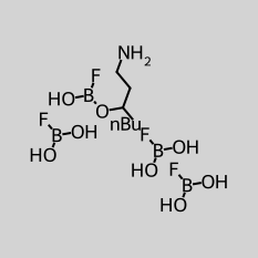 CCCCC(CCN)OB(O)F.OB(O)F.OB(O)F.OB(O)F